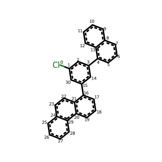 Clc1cc(-c2cccc3ccccc23)cc(-c2cccc3c2ccc2ccccc23)c1